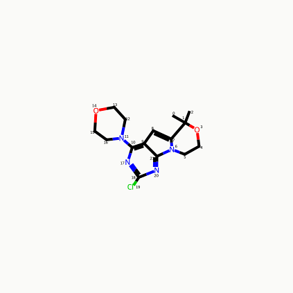 CC1(C)OCCn2c1cc1c(N3CCOCC3)nc(Cl)nc12